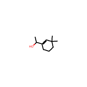 CC(O)C1=CC(C)(C)CCC1